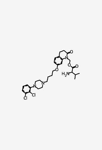 CC(C)C(N)C(=O)OCN1C(=O)CCc2ccc(OCCCCN3CCN(c4cccc(Cl)c4Cl)CC3)cc21